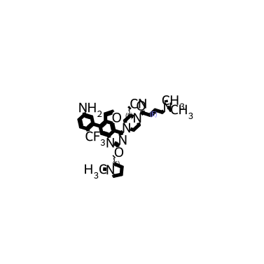 CN(C)C/C=C/C(=O)N1CCN(c2nc(OC[C@@H]3CCCN3C)nc3cc(-c4cc(N)ccc4C(F)(F)F)c4ccoc4c23)C[C@@H]1CC#N